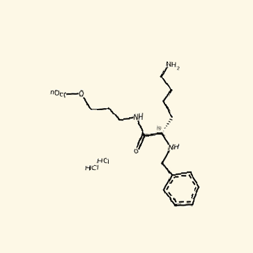 CCCCCCCCOCCCNC(=O)[C@H](CCCCN)NCc1ccccc1.Cl.Cl